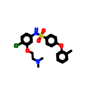 Cc1ccccc1Oc1ccc(S(=O)(=O)Nc2ccc(Cl)c(OCCN(C)C)c2)cc1